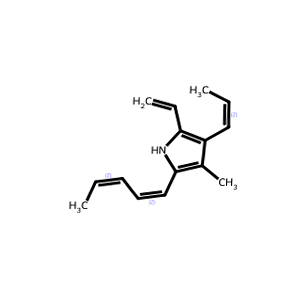 C=Cc1[nH]c(/C=C\C=C/C)c(C)c1/C=C\C